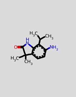 CC(C)c1c(N)ccc2c1NC(=O)C2(C)C